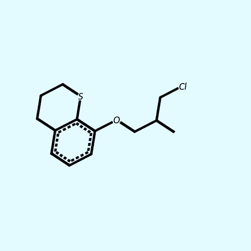 CC(CCl)COc1cccc2c1SCCC2